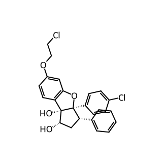 O[C@H]1C[C@@H](c2ccccc2)[C@]2(c3ccc(Cl)cc3)Oc3cc(OCCCl)ccc3[C@]12O